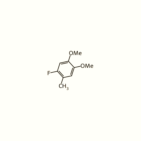 COc1cc(C)c(F)cc1OC